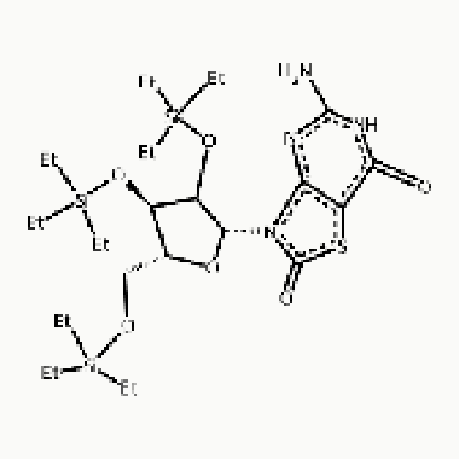 CC[Si](CC)(CC)OC[C@H]1O[C@@H](n2c(=O)sc3c(=O)[nH]c(N)nc32)C(O[Si](CC)(CC)CC)[C@@H]1O[Si](CC)(CC)CC